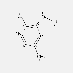 CCOc1cc(C)cnc1Cl